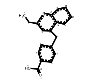 CCc1cc(Cc2ccc(C(=O)O)cc2)c2ccccc2n1